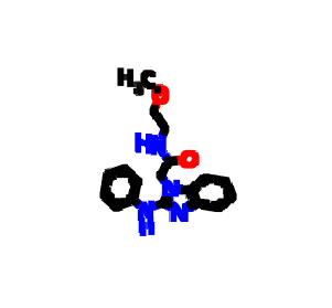 COCCNC(=O)Cn1c(Nc2ccccc2)nc2ccccc21